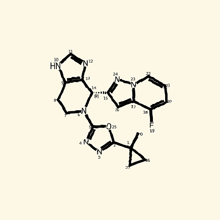 CC1(c2nnc(N3CCc4[nH]cnc4[C@@H]3c3cc4c(F)cccn4n3)o2)CC1